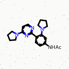 CC(=O)Nc1ccc(-c2nccc(N3CCCC3)n2)c(N2CCCC2)c1